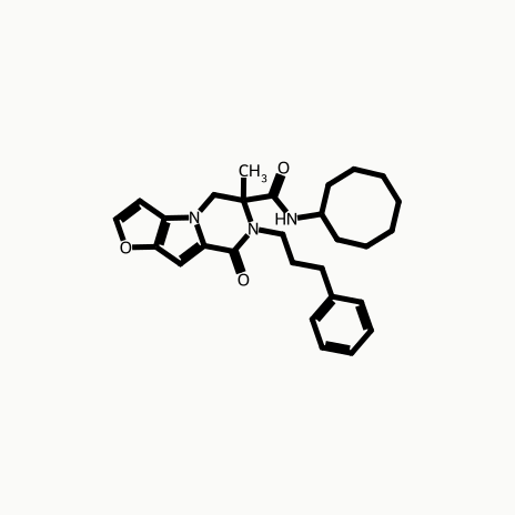 CC1(C(=O)NC2CCCCCCC2)Cn2c(cc3occc32)C(=O)N1CCCc1ccccc1